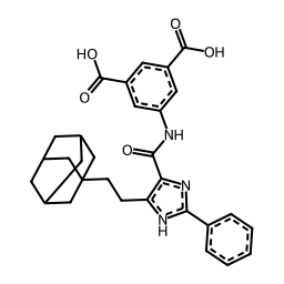 O=C(O)c1cc(NC(=O)c2nc(-c3ccccc3)[nH]c2CCC23CC4CC(CC(C4)C2)C3)cc(C(=O)O)c1